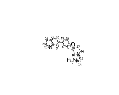 Cc1c(-c2ccc(OC3CCN(CC(C)N)CC3)cc2)ccc2cccnc12